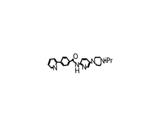 CC(C)N1CCN(c2ccc(NC(=O)c3ccc(-c4ccccn4)cc3)nc2)CC1